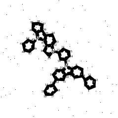 c1ccc(-c2ccc3c(c2)c2cc(-c4ccccc4)ccc2n3-c2cccc(-n3ccc4c3ccc3c5ccccc5n(-c5ccccc5)c34)c2)cc1